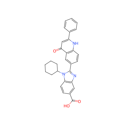 O=C(O)c1ccc2c(c1)nc(-c1ccc3[nH]c(-c4ccccc4)cc(=O)c3c1)n2C1CCCCC1